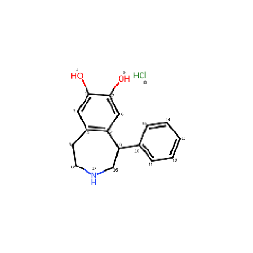 Cl.Oc1cc2c(cc1O)C(c1ccccc1)CNCC2